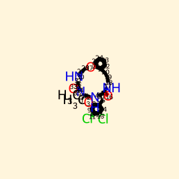 C[C@@H]1C(=O)N[C@H](Cc2ccc(Cl)c(Cl)c2)C(=O)NCCCc2ccccc2OCCNCC(=O)N1C